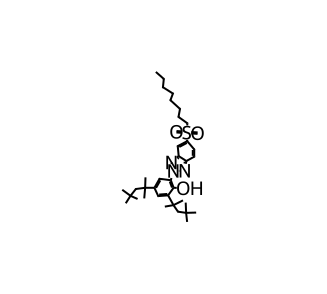 CCCCCCCCS(=O)(=O)c1ccc2nn(-c3cc(C(C)(C)CC(C)(C)C)cc(C(C)(C)CC(C)(C)C)c3O)nc2c1